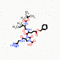 CCC(C)C(NC(=O)OC(C)(C)C)C(=O)NC(CCC(=O)OCc1ccccc1)C(=O)N1C(=O)N(C(=O)O)CC1C(=O)NCc1nn[nH]n1